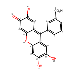 O=C(O)c1cccc(-c2c3cc(O)c(=O)cc-3oc3cc(O)c(O)cc23)c1